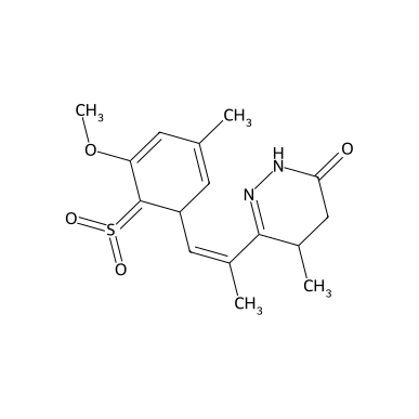 COC1=CC(C)=CC(C=C(C)C2=NNC(=O)CC2C)C1=S(=O)=O